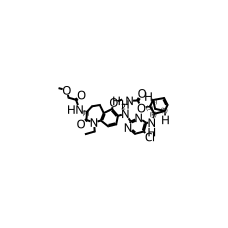 CCN1C(=O)[C@H](NC(=O)COC)CCc2c1ccc(Nc1ncc(Cl)c(N[C@H]3[C@@H](OC(N)=O)[C@@H]4C=C[C@H]3C4)n1)c2OC